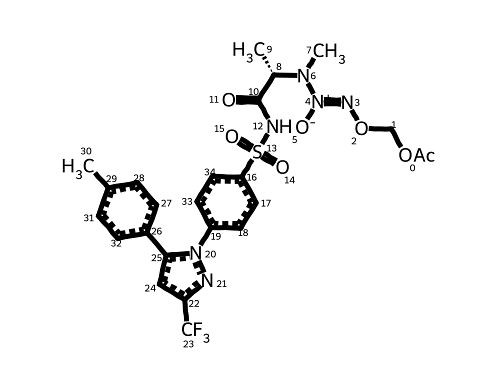 CC(=O)OCON=[N+]([O-])N(C)[C@@H](C)C(=O)NS(=O)(=O)c1ccc(-n2nc(C(F)(F)F)cc2-c2ccc(C)cc2)cc1